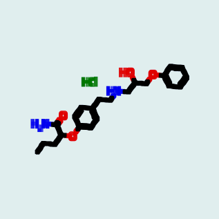 CCCC(Oc1ccc(CCNCC(O)COc2ccccc2)cc1)C(N)=O.Cl